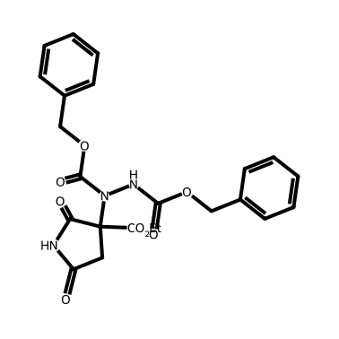 CCOC(=O)C1(N(NC(=O)OCc2ccccc2)C(=O)OCc2ccccc2)CC(=O)NC1=O